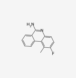 Cc1c(F)ccc2nc(N)c3ccccc3c12